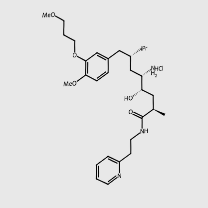 COCCCOc1cc(C[C@@H](C[C@H](N)[C@@H](O)C[C@@H](C)C(=O)NCCc2ccccn2)C(C)C)ccc1OC.Cl